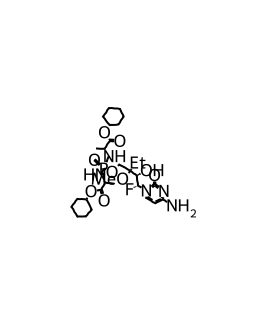 CC[C@](COP(=O)(NC(C)C(=O)OC1CCCCC1)NC(C)C(=O)OC1CCCCC1)(OC)[C@@H](O)[C@@H](F)n1ccc(N)nc1=O